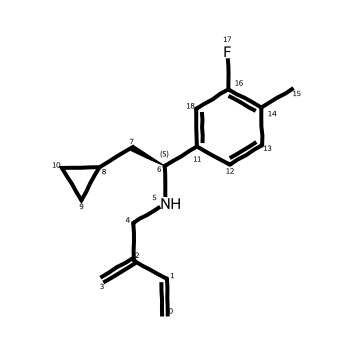 C=CC(=C)CN[C@@H](CC1CC1)c1ccc(C)c(F)c1